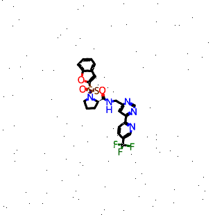 O=C(NCc1cc(-c2ccc(C(F)(F)F)cn2)ncn1)[C@@H]1CCCN1S(=O)(=S)c1cc2ccccc2o1